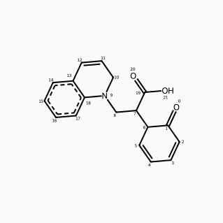 O=C1C=CC=CC1C(CN1CC=Cc2ccccc21)C(=O)O